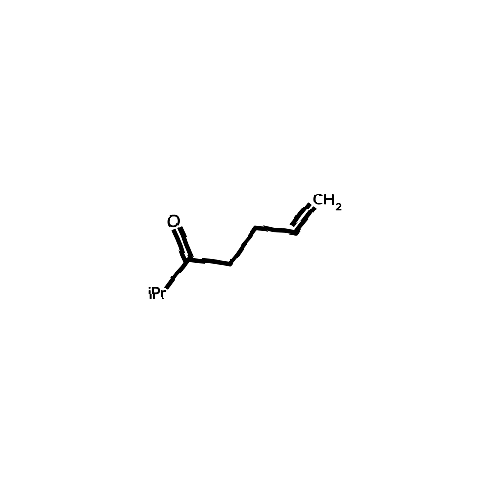 C=CCCC(=O)C(C)C